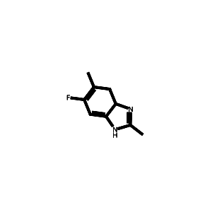 CC1=NC2CC(C)=C(F)C=C2N1